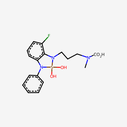 CN(CCCN1c2c(F)cccc2N(c2ccccc2)S1(O)O)C(=O)O